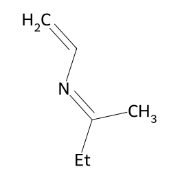 C=CN=C(C)CC